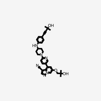 CC(C)(O)C#Cc1ccc(NC2CCN(c3ccc(-c4cc(OCC(C)(C)O)cn5ncc(C#N)c45)cn3)CC2)cc1